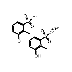 Cc1c(O)cccc1S(=O)(=O)[O-].Cc1c(O)cccc1S(=O)(=O)[O-].[Zn+2]